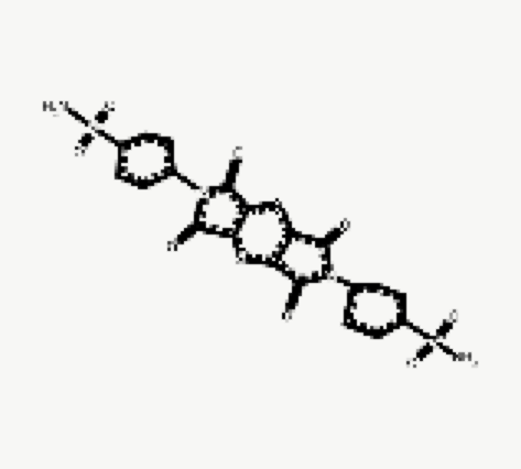 NS(=O)(=O)c1ccc(-n2c(=O)c3sc4c(=O)n(-c5ccc(S(N)(=O)=O)cc5)c(=O)c4sc3c2=O)cc1